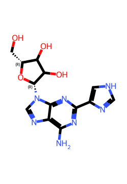 Nc1nc(-c2c[nH]cn2)nc2c1ncn2[C@@H]1O[C@H](CO)C(O)C1O